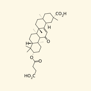 CC1(C)[C@@H](OC(=O)CCC(=O)O)CC[C@]2(C)C3C(=O)C=C4[C@@H]5C[C@@](C)(C(=O)O)CC[C@]5(C)CC[C@@]4(C)[C@]3(C)CC[C@@H]12